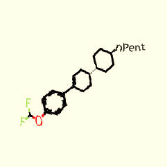 CCCCC[C@H]1CC[C@H](C2CC=C(c3ccc(OC(F)F)cc3)CC2)CC1